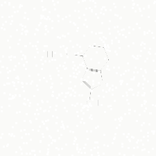 Cc1cc2c(o1)CCCC2C(=O)O